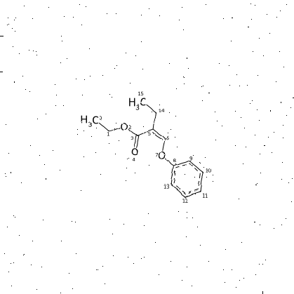 CCOC(=O)C(=COc1ccccc1)CC